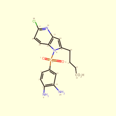 Nc1ccc(S(=O)(=O)n2c(CCCC(=O)O)cc3nc(Cl)ccc32)cc1N